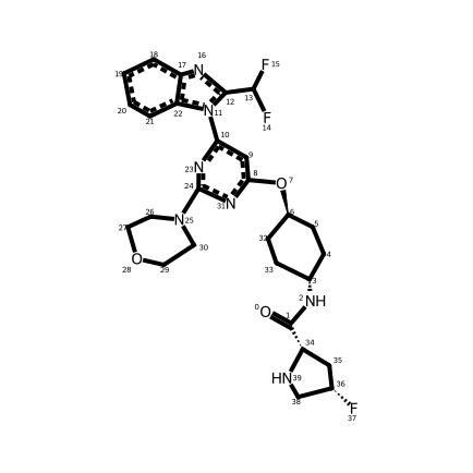 O=C(N[C@H]1CC[C@H](Oc2cc(-n3c(C(F)F)nc4ccccc43)nc(N3CCOCC3)n2)CC1)[C@@H]1C[C@H](F)CN1